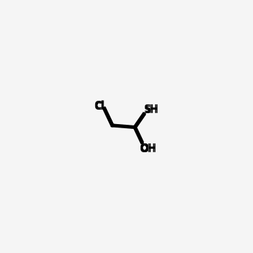 OC(S)CCl